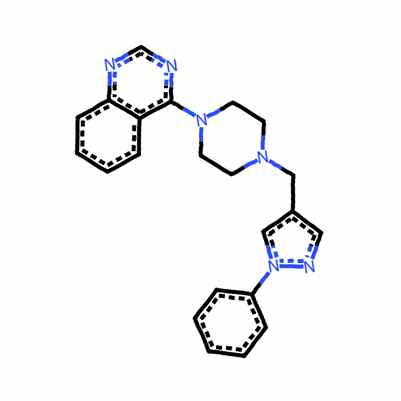 c1ccc(-n2cc(CN3CCN(c4ncnc5ccccc45)CC3)cn2)cc1